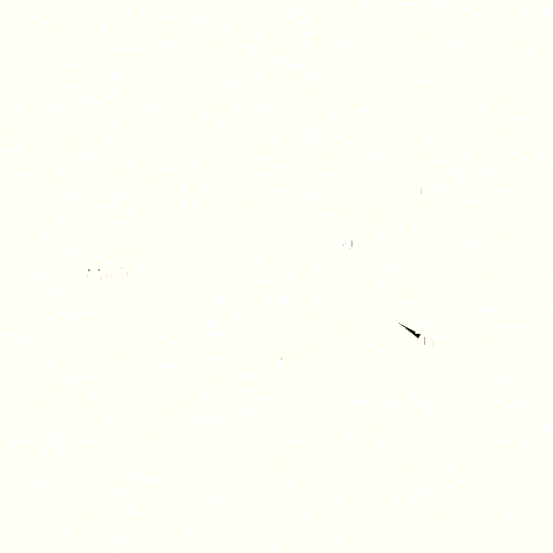 COc1ccc(CN2C(=O)C3(CC3)[C@@H]3OC(=O)C32)cc1